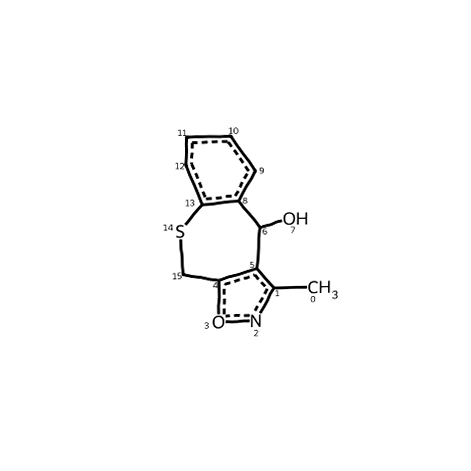 Cc1noc2c1C(O)c1ccccc1SC2